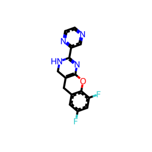 Fc1cc(F)c2c(c1)CC1=C(N=C(c3cnccn3)NC1)O2